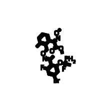 CO/N=C(/C(=O)OC)c1cccc(C)c1CO/N=C(\C)c1c(F)cc(Br)cc1OC(C)(F)P